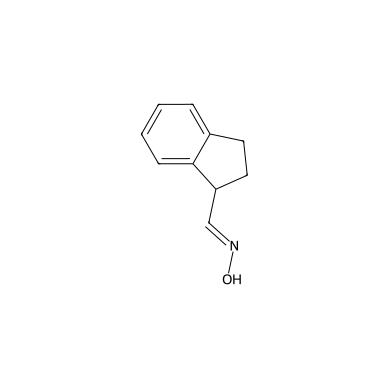 ON=CC1CCc2ccccc21